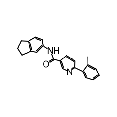 Cc1ccccc1-c1ccc(C(=O)Nc2ccc3c(c2)CCC3)cn1